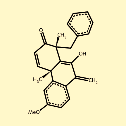 C=C1C(O)=C2[C@@](C)(Cc3ccccc3)C(=O)C=C[C@@]2(C)c2cc(OC)ccc21